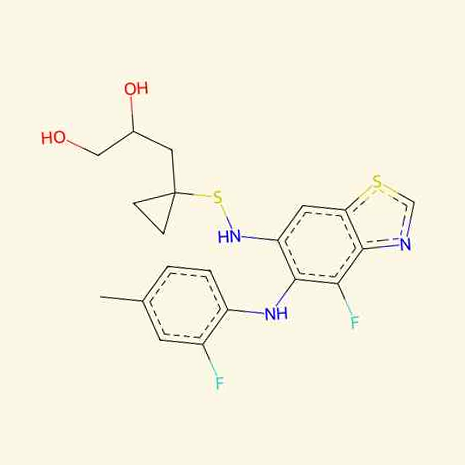 Cc1ccc(Nc2c(NSC3(CC(O)CO)CC3)cc3scnc3c2F)c(F)c1